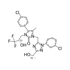 Cc1c(-c2ccc(Cl)cc2)n(C[C@H](O)C(F)(F)F)c(=O)n1Cc1nc([C@H](C)O)nn1-c1cccc(Cl)c1